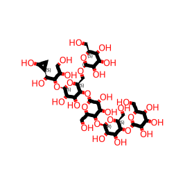 OCC(O)C(O[C@@H]1O[C@@H](CO[C@H]2O[C@@H](CO)C(O)C(O)C2O)C(OC2OC(CO)C(O[C@H]3O[C@@H](CO)C(OC4OC(CO)C(O)C(O)C4O)C(O)C3O)C(O)C2O)C(O)C1O)C(O)[C@H]1CC1O